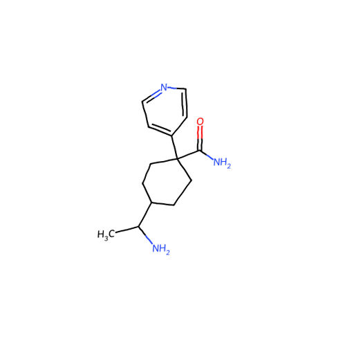 CC(N)C1CCC(C(N)=O)(c2ccncc2)CC1